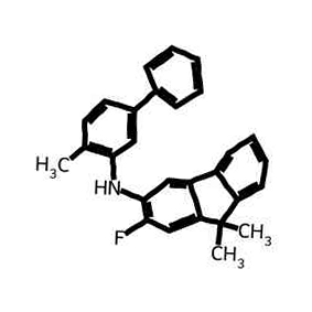 Cc1ccc(-c2ccccc2)cc1Nc1cc2c(cc1F)C(C)(C)c1ccccc1-2